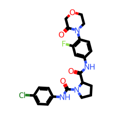 O=C(Nc1ccc(N2CCOCC2=O)c(F)c1)C1CCCN1C(=O)Nc1ccc(Cl)cc1